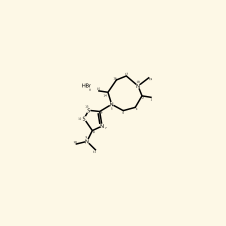 Br.CC1CCN(C2=NC(N(C)C)SS2)C(C)CCN1C